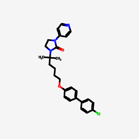 CC(C)(CCCCOc1ccc(-c2ccc(Cl)cc2)cc1)N1CCN(c2ccncc2)C1=O